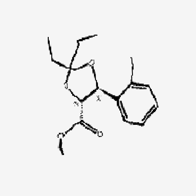 CCC1(CC)O[C@@H](C(=O)OC)[C@H](c2ccccc2C)O1